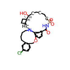 C[C@@]12CC[C@@H]1CN1CCCCc3cc(Cl)ccc3COc3ccc(cc31)C(=O)NS(=O)(=O)CCCCC[C@@H]2O